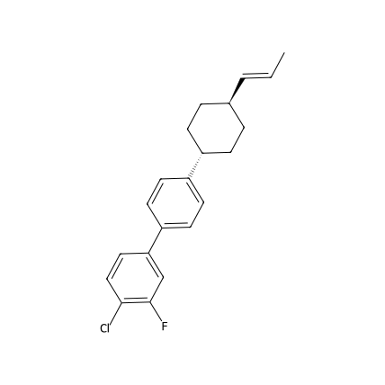 CC=C[C@H]1CC[C@H](c2ccc(-c3ccc(Cl)c(F)c3)cc2)CC1